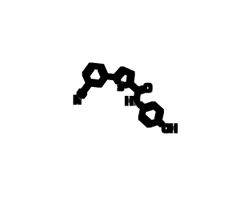 N#Cc1cccc(-c2ccc(C(=O)Nc3ccc(O)cc3)s2)c1